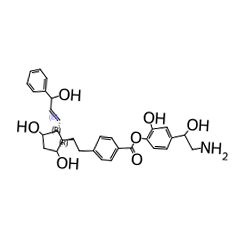 NCC(O)c1ccc(OC(=O)c2ccc(CC[C@H]3C(O)CC(O)[C@@H]3/C=C/C(O)c3ccccc3)cc2)c(O)c1